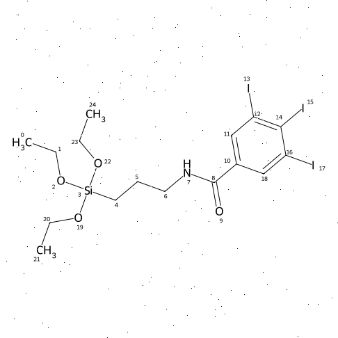 CCO[Si](CCCNC(=O)c1cc(I)c(I)c(I)c1)(OCC)OCC